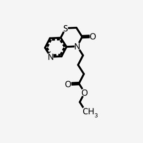 CCOC(=O)CCCN1C(=O)CSc2ccncc21